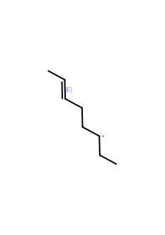 C/C=C/CC[CH]CC